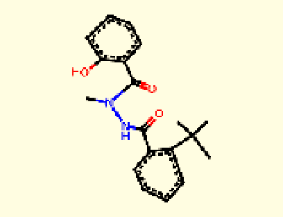 CN(NC(=O)c1ccccc1C(C)(C)C)C(=O)c1ccccc1O